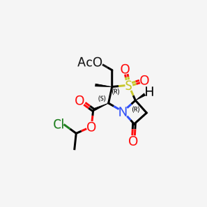 CC(=O)OC[C@@]1(C)[C@H](C(=O)OC(C)Cl)N2C(=O)C[C@H]2S1(=O)=O